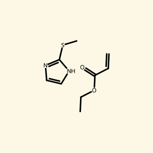 C=CC(=O)OCC.CSc1ncc[nH]1